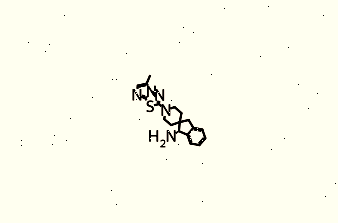 Cc1cnc2sc(N3CCC4(CC3)Cc3ccccc3[C@H]4N)nn12